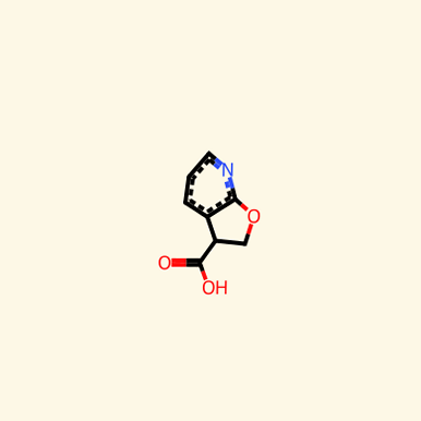 O=C(O)C1COc2ncccc21